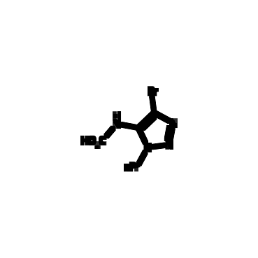 CCCn1nnc(Br)c1NC(=O)O